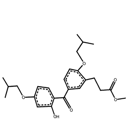 COC(=O)CCc1cc(C(=O)c2ccc(OCC(C)C)cc2O)ccc1OCC(C)C